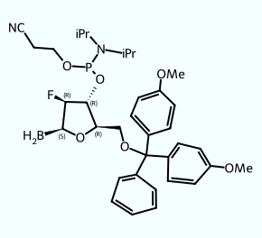 B[C@@H]1O[C@H](COC(c2ccccc2)(c2ccc(OC)cc2)c2ccc(OC)cc2)[C@@H](OP(OCCC#N)N(C(C)C)C(C)C)[C@@H]1F